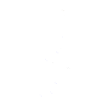 COCC1C(=O)N(Cc2ccc3c(N)ncnc3c2)CCN1C(=O)/C=C/c1ccc(Br)cc1